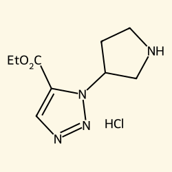 CCOC(=O)c1cnnn1C1CCNC1.Cl